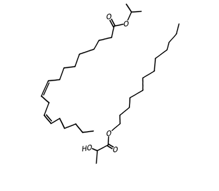 CCCCC/C=C\C/C=C\CCCCCCCC(=O)OC(C)C.CCCCCCCCCCCCOC(=O)C(C)O